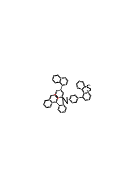 c1cc(-c2cccc3ccccc23)cc(N(c2ccc(-c3cccc4sc5ccccc5c34)cc2)c2ccccc2-c2cccc3ccccc23)c1